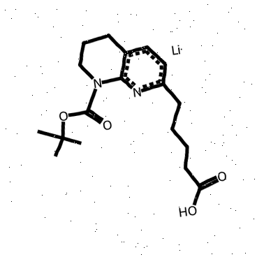 CC(C)(C)OC(=O)N1CCCc2ccc(CCCCC(=O)O)nc21.[Li]